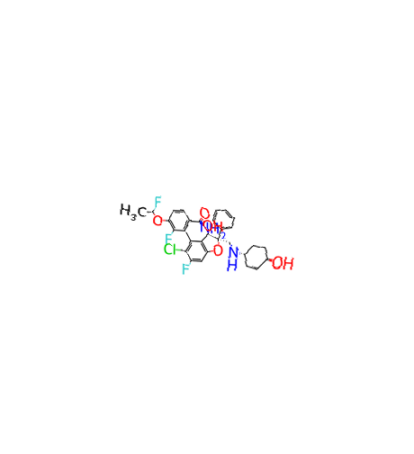 CC(F)Oc1ccc(C(N)=O)c(-c2c(Cl)c(F)cc3c2[C@H](O)[C@@](CN[C@H]2CC[C@H](O)CC2)(c2ccccc2)O3)c1F